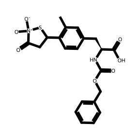 Cc1cc(C[C@H](NC(=O)OCc2ccccc2)C(=O)O)ccc1C1CC(=O)[N+]([O-])([O-])S1